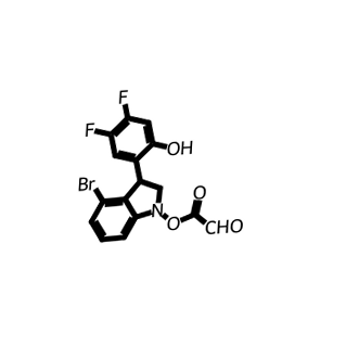 O=CC(=O)ON1CC(c2cc(F)c(F)cc2O)c2c(Br)cccc21